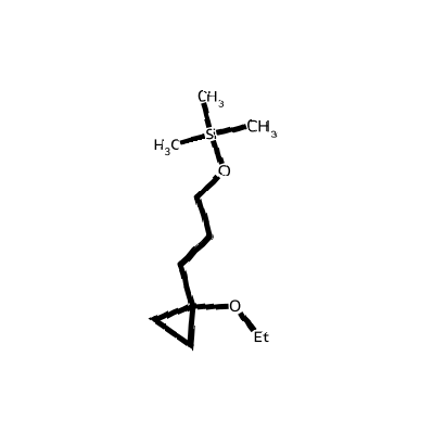 CCOC1(CCCO[Si](C)(C)C)CC1